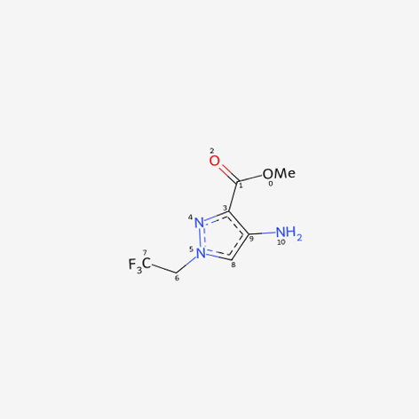 COC(=O)c1nn(CC(F)(F)F)cc1N